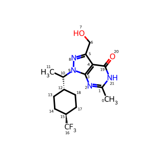 Cc1nc2c(c(CO)nn2C(C)[C@H]2CC[C@H](C(F)(F)F)CC2)c(=O)[nH]1